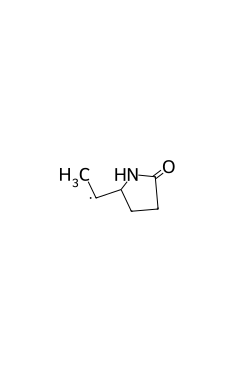 C[CH]C1CCC(=O)N1